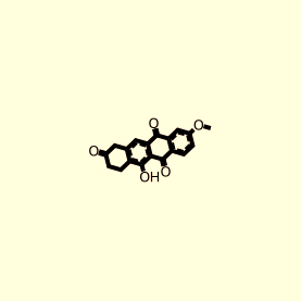 COc1ccc2c(c1)C(=O)c1cc3c(c(O)c1C2=O)CCC(=O)C3